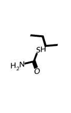 CCCC.NC(=O)S